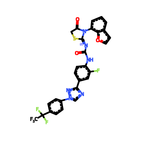 O=C(/N=C1\SCC(=O)N1c1cccc2ccoc12)Nc1ccc(-c2ncn(-c3ccc(C(F)(F)C(F)(F)F)cc3)n2)cc1F